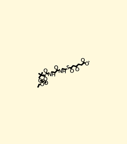 CCOP1(=O)OCC(C)(C)[C@H](C(=O)NCCC(=O)NCCSC(=O)CC(=O)CCC(=O)OC)O1